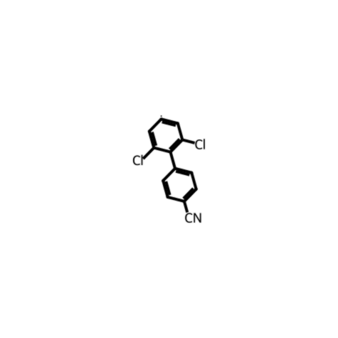 N#Cc1ccc(-c2c(Cl)c[c]cc2Cl)cc1